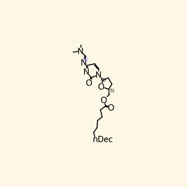 CCCCCCCCCCCCCCCC(=O)OC[C@@H]1CC[C@H](n2ccc(/N=C/N(C)C)nc2=O)O1